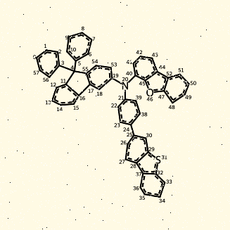 c1ccc(C2(c3ccccc3)c3ccccc3-c3cc(N(c4ccc(-c5ccc6c(c5)sc5ccccc56)cc4)c4cccc5c4oc4ccccc45)ccc32)cc1